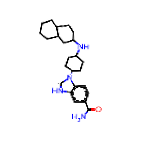 NC(=O)c1ccc2c(c1)N[CH]N2C1CCC(NC2CCC3CCCCC3C2)CC1